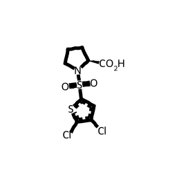 O=C(O)[C@@H]1CCCN1S(=O)(=O)c1cc(Cl)c(Cl)s1